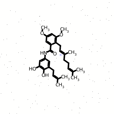 COc1cc(OC)c(C/C=C(\C)CCC=C(C)C)c(C(=O)Nc2cc(O)c(O)c(CC=C(C)C)c2)c1